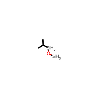 CC(C)[SiH2]O[SiH3]